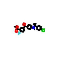 COC(=O)c1cc(C(=O)c2ccc(N(C)C3(c4ccc(Cl)cc4)CC3)cc2)ccc1F